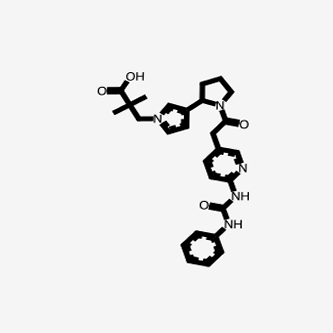 CC(C)(Cn1ccc(C2CCCN2C(=O)Cc2ccc(NC(=O)Nc3ccccc3)nc2)c1)C(=O)O